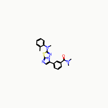 Cc1ccccc1N(C)c1nn2c(-c3cccc(C(=O)N(C)C)c3)cnc2s1